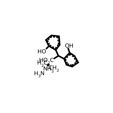 C=C.N.N.O=C(O)C(c1ccccc1O)c1ccccc1O